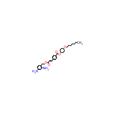 CCCCCCCOC1CCC(OC(=O)c2ccc(/C=C/C(=O)OCCc3ccc(N)cc3N)cc2)CC1